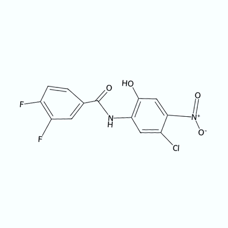 O=C(Nc1cc(Cl)c([N+](=O)[O-])cc1O)c1ccc(F)c(F)c1